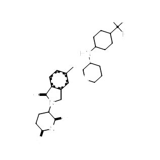 O=C1CCC(N2Cc3cc(C[C@H]4OCCC[C@@H]4NC4CCC(C(F)(F)F)CC4)ccc3C2=O)C(=O)N1